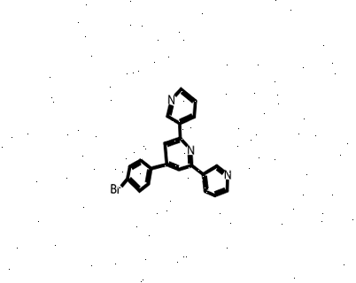 Brc1ccc(-c2cc(-c3cccnc3)nc(-c3cccnc3)c2)cc1